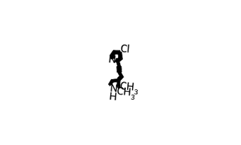 CC1(C)NCC/C1=C\C#Cc1cc(Cl)ccn1